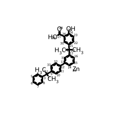 CC(C)(c1ccccc1)c1ccc(-c2cccc(C(C)(C)c3ccc(O)c(C(=O)O)c3)c2)cc1.[Zn]